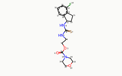 O=C(OCCNC(=S)NC1CCc2c(F)cccc21)N1CCOCC1